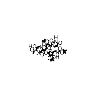 CC(=O)[C@@H]1[C@@H](O)CN(C)C([C@H](OC2OC(CNC(=O)OC(C)(C)C)C3OC(C)(C)OC23)C2OC(n3ccc(=O)[nH]c3=O)C3OC(C)(C)OC32)C(=O)N1C